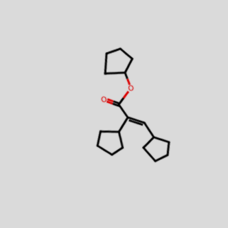 O=C(OC1CCCC1)C(=CC1CCCC1)C1CCCC1